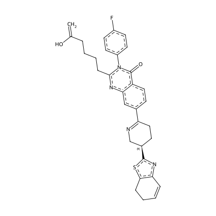 C=C(O)CCCCc1nc2cc(C3=NC[C@H](c4nc5c(s4)CCC=C5)CC3)ccc2c(=O)n1-c1ccc(F)cc1